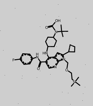 CC(C)(C)N(C(=O)O)C1CCC(Nc2c(C(=O)Nc3ccc(F)cc3)cnc3c2cc(C2CCC2)n3COCC[Si](C)(C)C)CC1